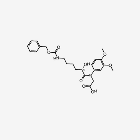 COc1ccc(N(CC(=O)O)C(=O)[C@@H](O)CCCCNC(=O)OCc2ccccc2)cc1OC